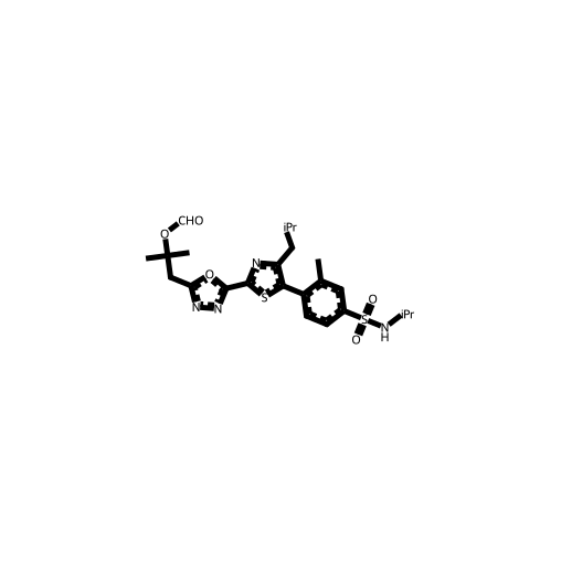 Cc1cc(S(=O)(=O)NC(C)C)ccc1-c1sc(-c2nnc(CC(C)(C)OC=O)o2)nc1CC(C)C